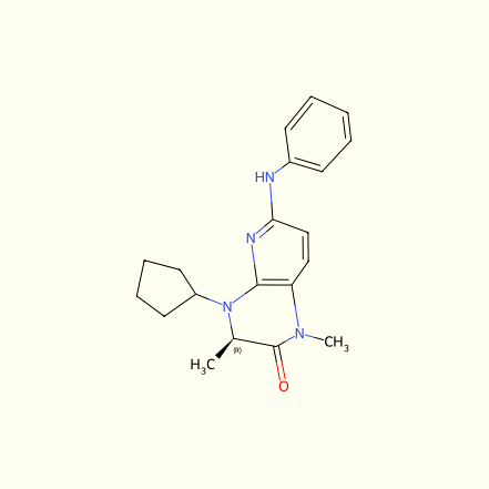 C[C@@H]1C(=O)N(C)c2ccc(Nc3ccccc3)nc2N1C1CCCC1